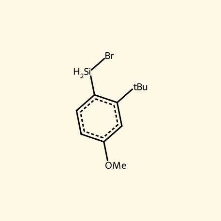 COc1ccc([SiH2]Br)c(C(C)(C)C)c1